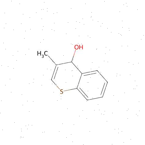 CC1=CSc2ccccc2C1O